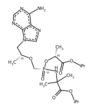 CC(C)OC(=O)[C@@H](C)O[P@@](=O)(CO[C@H](C)Cn1cnc2c(N)ncnc21)NC(C)(C)C(=O)OC(C)C